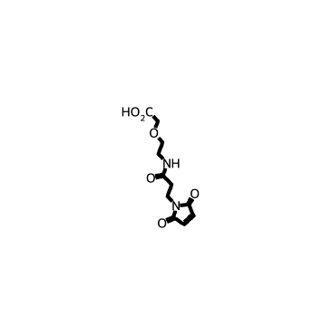 O=C(O)COCCNC(=O)CCN1C(=O)C=CC1=O